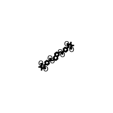 CC1=C(C)C(=O)N(c2ccc(C(=O)Oc3ccc4cc(OC(=O)c5ccc(N6C(=O)C(C)=C(C)C6=O)cc5)ccc4c3)cc2)C1=O